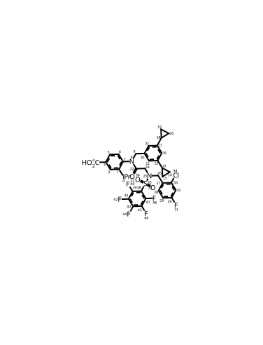 CC(C)c1cc(C(=O)O)ccc1N(Cc1cc(C2CC2)cc(C2CC2)c1)C(=O)CN(Cc1ccc(F)cc1Cl)S(=O)(=O)c1c(F)c(F)c(F)c(F)c1F